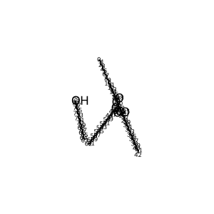 CCCCCCCCCCCCCCCCCC(=O)OCC(COC(=O)CCCCCCCCCCCCCCCCC)OC(=O)CCCCCCCCCCCCCCCCC.CCCCCCCCCCCCCCCCO